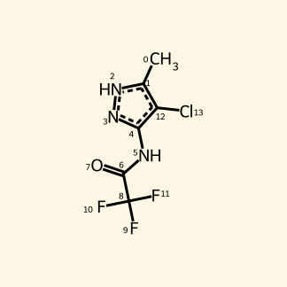 Cc1[nH]nc(NC(=O)C(F)(F)F)c1Cl